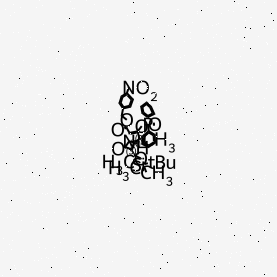 CC(O[Si](C)(C)C(C)(C)C)[C@H]1C(=O)N2C(C(=O)OCc3ccc([N+](=O)[O-])cc3)=C(OP(=O)(c3ccccc3)c3ccccc3)[C@H](C)[C@H]12